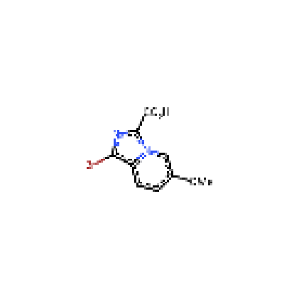 COc1ccc2c(Br)nc(C(=O)O)n2c1